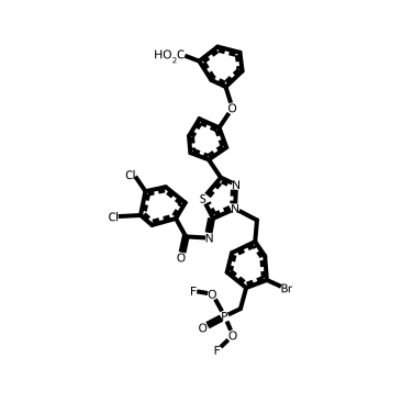 O=C(O)c1cccc(Oc2cccc(-c3nn(Cc4ccc(CP(=O)(OF)OF)c(Br)c4)c(=NC(=O)c4ccc(Cl)c(Cl)c4)s3)c2)c1